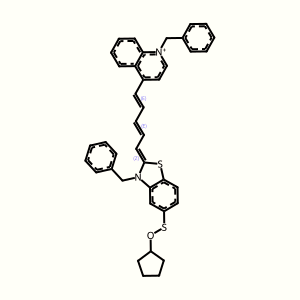 C(/C=C/C=C/c1cc[n+](Cc2ccccc2)c2ccccc12)=C1/Sc2ccc(SOC3CCCC3)cc2N1Cc1ccccc1